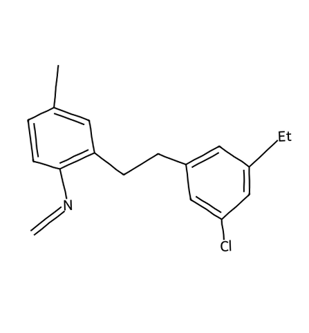 C=Nc1ccc(C)cc1CCc1cc(Cl)cc(CC)c1